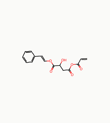 C=CC(=O)OC(=O)CC(O)C(=O)OC=Cc1ccccc1